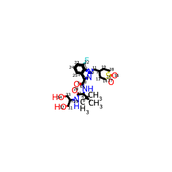 CC(C)(C)C(NC(=O)c1nn(CC2CCS(=O)(=O)CC2)c2c(F)cccc12)C(=O)NC(CO)CO